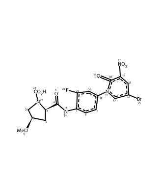 CO[C@@H]1C[C@H](C(=O)Nc2ccc(-n3cc(Br)cc([N+](=O)[O-])c3=O)cc2F)N(C(=O)O)C1